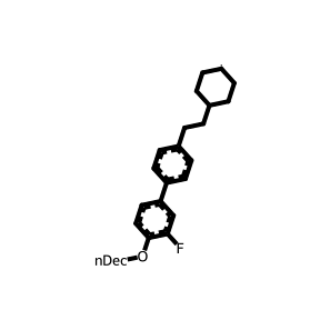 CCCCCCCCCCOc1ccc(-c2ccc(CCC3CC[CH]CC3)cc2)cc1F